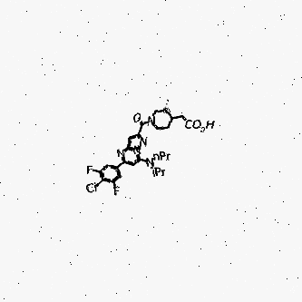 CCCN(c1cc(-c2cc(F)c(Cl)c(F)c2)nc2cc(C(=O)N3CCC(CC(=O)O)[C@@H](C)C3)nn12)C(C)C